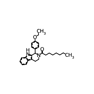 CCCCCCCC(=O)N1CCc2c([nH]c3ccccc23)C1c1ccc(OCC)cc1